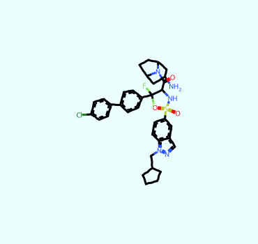 NC1CC2CCC(C1)N2C(=O)C(NS(=O)(=O)c1ccc2c(cnn2CC2CCCC2)c1)C(F)(F)c1ccc(-c2ccc(Cl)cc2)cc1